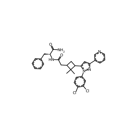 CC1(C)C(CC(=O)N[C@@H](Cc2ccccc2)C(N)=O)CC1c1cc(-c2cccnc2)nn1-c1ccc(Cl)c(Cl)c1